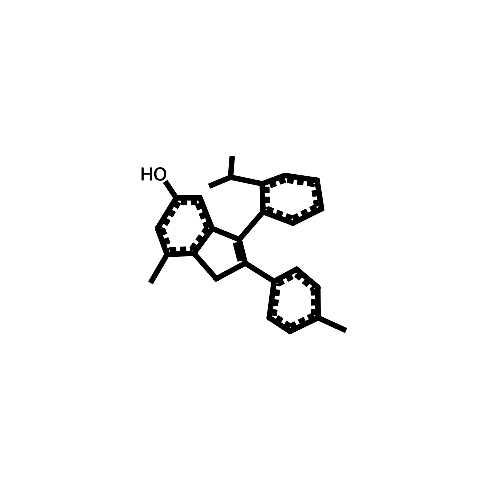 Cc1ccc(C2=C(c3ccccc3C(C)C)c3cc(O)cc(C)c3C2)cc1